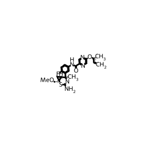 C=C[C@@H](C)Oc1cnc(C(=O)Nc2ccc(F)c([C@@]3(C)N=C(N)S[C@@]4(COC)C[C@H]43)c2)cn1